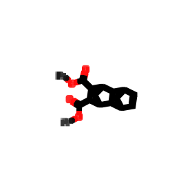 CC(C)OC(=O)C1C2CC(C1C(=O)OC(C)C)C1C3C=CC(C3)C21